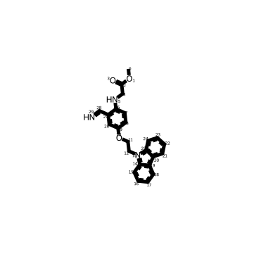 COC(=O)CNc1ccc(OCCn2c3ccccc3c3ccccc32)cc1C=N